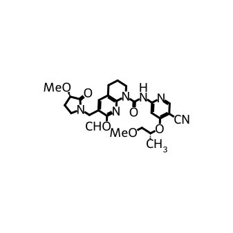 COC[C@@H](C)Oc1cc(NC(=O)N2CCCc3cc(CN4CC[C@@H](OC)C4=O)c(C=O)nc32)ncc1C#N